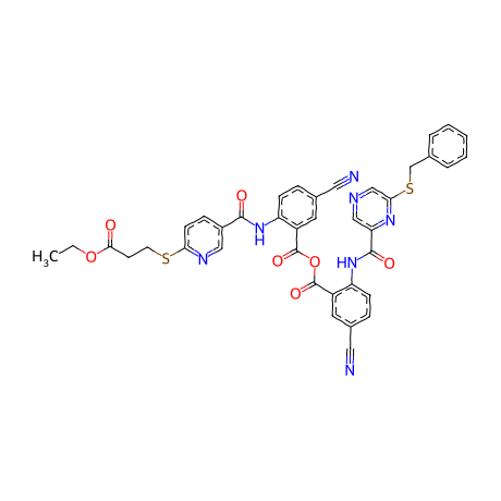 CCOC(=O)CCSc1ccc(C(=O)Nc2ccc(C#N)cc2C(=O)OC(=O)c2cc(C#N)ccc2NC(=O)c2cncc(SCc3ccccc3)n2)cn1